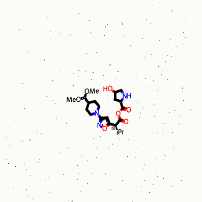 COC(OC)C1CCN(c2cc([C@@H](C(=O)OC(=O)C3CC(O)CN3)C(C)C)on2)CC1